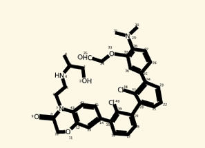 CC(CO)NCCN1C(=O)COc2cc(-c3cccc(-c4cccc(-c5ccc(N(C)C)c(OCC=O)c5)c4Cl)c3Cl)ccc21